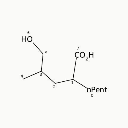 CCCCCC(CC(C)CO)C(=O)O